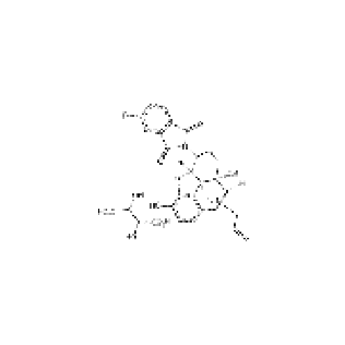 C=CCN1CC[C@]23c4c5ccc(O)c4O[C@H]2[C@H](N2C(=O)c4ccc(F)cc4C2=O)CC[C@@]3(O)[C@H]1C5.O=C(O)C(O)C(O)C(=O)O